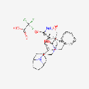 CC(C)(CO)C(=O)N(CCN1C2CCC1CC(c1cccc(C(N)=O)c1)C2)Cc1ccccc1.O=C(O)C(F)(F)F